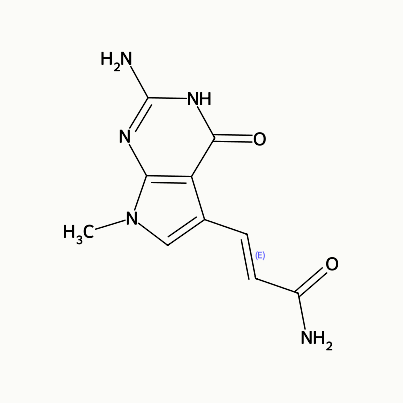 Cn1cc(/C=C/C(N)=O)c2c(=O)[nH]c(N)nc21